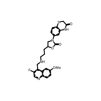 COc1ccc2ncc(F)c(CNCCCC3CN(c4ccc5c(c4)NC(=O)CS5)C(=O)O3)c2c1